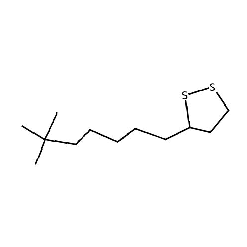 CC(C)(C)CCCCCC1CCSS1